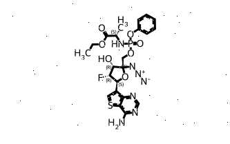 CCOC(=O)[C@H](C)NP(=O)(OC[C@@]1(N=[N+]=[N-])O[C@@H](c2csc3c(N)ncnc23)[C@H](F)[C@@H]1O)Oc1ccccc1